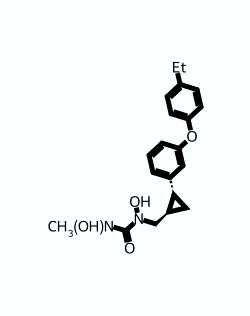 CCc1ccc(Oc2cccc([C@@H]3C[C@H]3CN(O)C(=O)N(C)O)c2)cc1